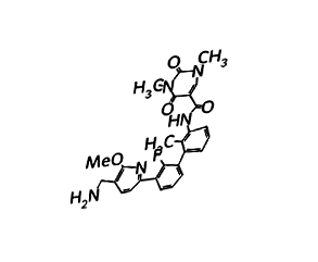 COc1nc(-c2cccc(-c3cccc(NC(=O)c4cn(C)c(=O)n(C)c4=O)c3C)c2F)ccc1CN